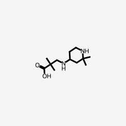 CC1(C)CC(NCC(C)(C)C(=O)O)CCN1